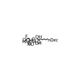 CCCCCCCCCCCCCCCC(=O)C(O)[C@H]1O[C@@H](n2cc(F)c(=O)[nH]c2=O)[C@H](O)[C@@H]1O